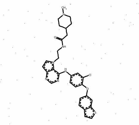 CN1CCC(CC(=O)NCCn2ccc3ncnc(Nc4ccc(Oc5ccc6ccsc6c5)c(Cl)c4)c32)CC1